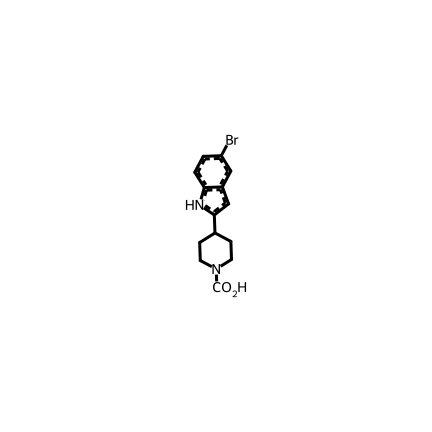 O=C(O)N1CCC(c2cc3cc(Br)ccc3[nH]2)CC1